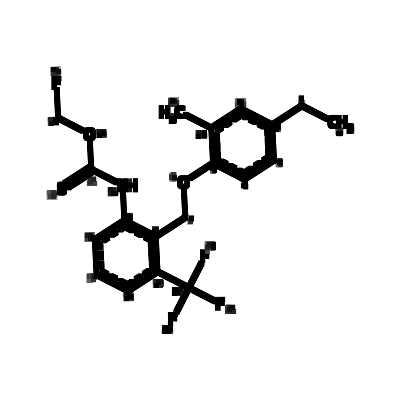 CCc1ccc(OCc2c(NC(=S)OCF)cccc2C(F)(F)F)c(C)c1